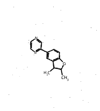 CC1Oc2ccc(-c3[c]nccn3)cc2C1C